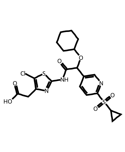 O=C(O)Cc1nc(NC(=O)C(OC2CCCCC2)c2ccc(S(=O)(=O)C3CC3)nc2)sc1Cl